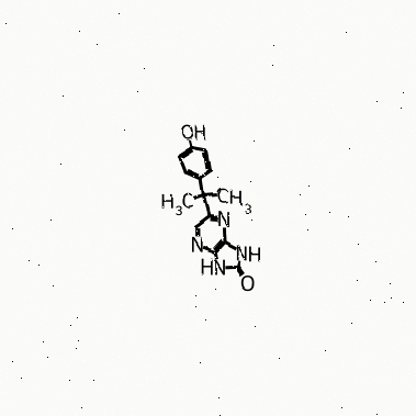 CC(C)(c1ccc(O)cc1)c1cnc2[nH]c(=O)[nH]c2n1